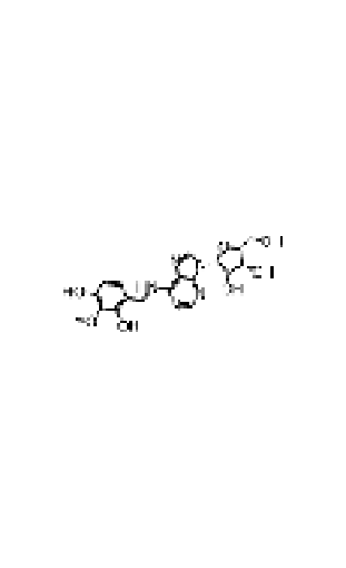 COc1c(O)ccc(CNc2ncnc3c2ncn3[C@@H]2O[C@H](CO)[C@@H](O)[C@H]2O)c1O